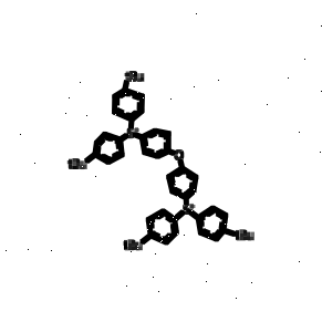 CC(C)(C)c1ccc([S+](c2ccc(Oc3ccc([S+](c4ccc(C(C)(C)C)cc4)c4ccc(C(C)(C)C)cc4)cc3)cc2)c2ccc(C(C)(C)C)cc2)cc1